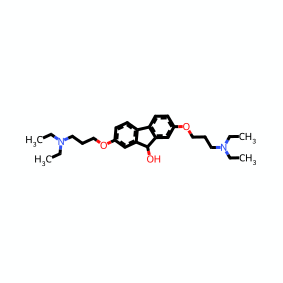 CCN(CC)CCCOc1ccc2c(c1)C(O)c1cc(OCCCN(CC)CC)ccc1-2